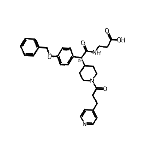 O=C(O)CCNC(=O)[C@H](c1ccc(OCc2ccccc2)cc1)C1CCN(C(=O)CCc2ccncc2)CC1